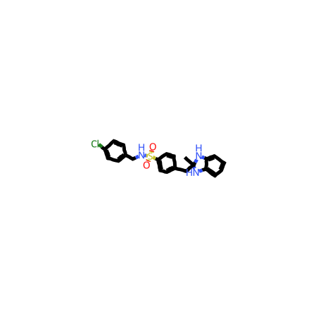 CC1(Cc2ccc(S(=O)(=O)NCc3ccc(Cl)cc3)cc2)Nc2ccccc2N1